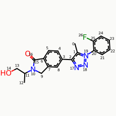 Cc1c(-c2ccc3c(c2)CN(C(C)CO)C3=O)nnn1-c1ccccc1F